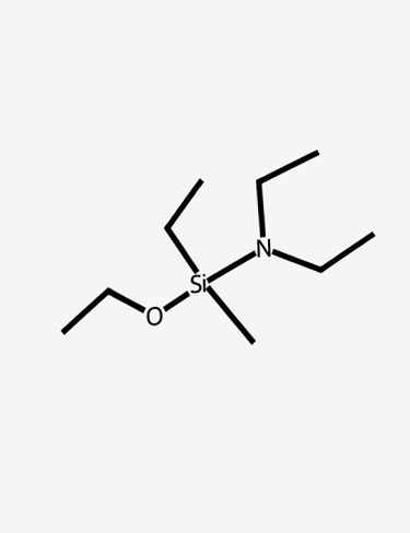 CCO[Si](C)(CC)N(CC)CC